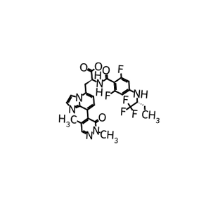 CC[C@@H](Nc1cc(F)c(C(=O)N[C@@H](Cc2ccc(-c3c(C)cnn(C)c3=O)c3nccn23)C(=O)O)c(F)c1)C(F)(F)F